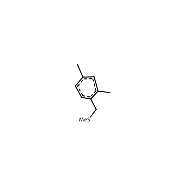 CSCc1ccc(C)cc1C